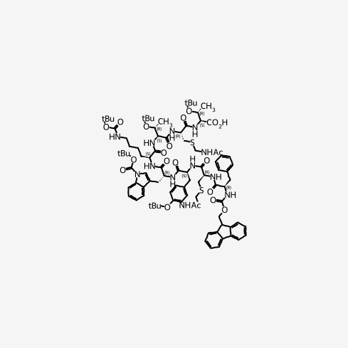 CC(=O)NCSC[C@H](NC(=O)[C@@H](NC(=O)[C@H](CCCCNC(=O)OC(C)(C)C)NC(=O)[C@@H](Cc1cn(C(=O)OC(C)(C)C)c2ccccc12)NC(=O)[C@H](Cc1ccc(OC(C)(C)C)cc1)NC(=O)[C@H](CSCNC(C)=O)NC(=O)[C@@H](Cc1ccccc1)NC(=O)OCC1c2ccccc2-c2ccccc21)[C@@H](C)OC(C)(C)C)C(=O)N[C@H](C(=O)O)[C@@H](C)OC(C)(C)C